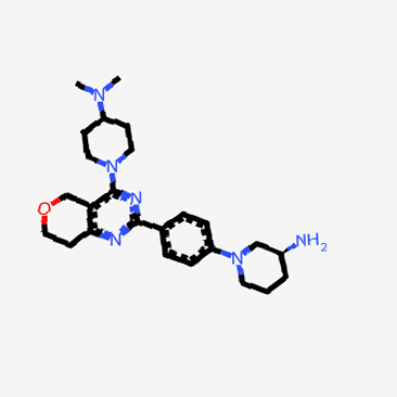 CN(C)C1CCN(c2nc(-c3ccc(N4CCC[C@H](N)C4)cc3)nc3c2COCC3)CC1